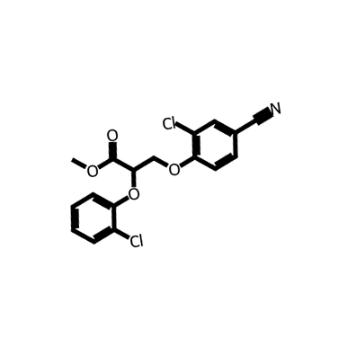 COC(=O)C(COc1ccc(C#N)cc1Cl)Oc1ccccc1Cl